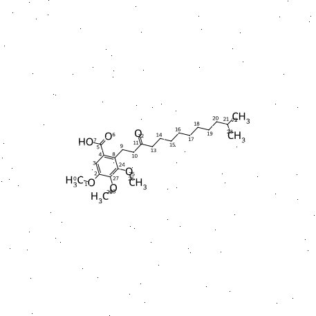 COc1cc(C(=O)O)c(CCC(=O)CCCCCCCCC(C)C)c(OC)c1OC